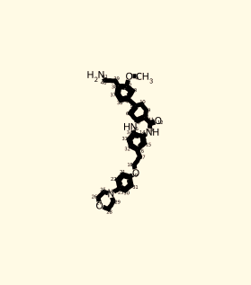 COc1cc(C2=CC3=C(CC2)C(=O)Nc2cc(CCOc4ccc(N5CCOCC5)cc4)ccc2N3)ccc1CCN